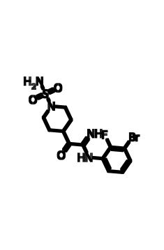 N=C(Nc1cccc(Br)c1F)C(=O)C1CCN(S(N)(=O)=O)CC1